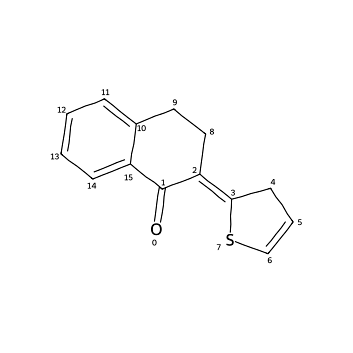 O=C1/C(=C2/CC=CS2)CCc2ccccc21